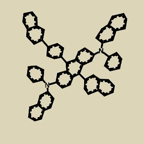 c1ccc(N(c2ccc3ccccc3c2)c2ccc3c(-c4ccc5ccccc5c4)c4cc(N(c5ccccc5)c5ccc6ccccc6c5)ccc4c(-c4ccc(-c5ccc6ccccc6c5)cc4)c3c2)cc1